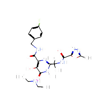 CCNCC.Cc1nnc(C(=O)NC(C)(C)c2nc(C(=O)NCc3ccc(F)cc3)c(O)c(=O)n2C)o1